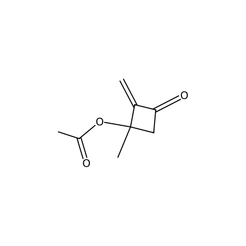 C=C1C(=O)CC1(C)OC(C)=O